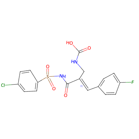 O=C(O)NC/C(=C\c1ccc(F)cc1)C(=O)NS(=O)(=O)c1ccc(Cl)cc1